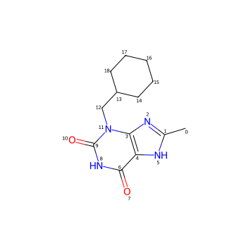 Cc1nc2c([nH]1)c(=O)[nH]c(=O)n2CC1CCCCC1